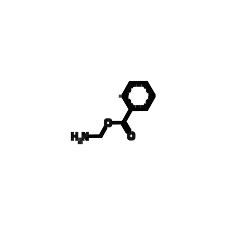 NCOC(=O)c1[c]cccc1